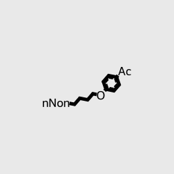 CCCCCCCCCCCCCOc1ccc(C(C)=O)cc1